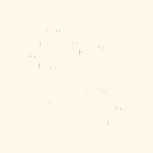 CCCCC(CC)COC(=O)c1ccc(-c2ccc(C(=O)OCC(CC)CCCC)c(S)c2C(=O)OCC(CC)CCCC)cc1C(=O)OCC(CC)CCCC.c1ccc(-c2ccccc2)cc1